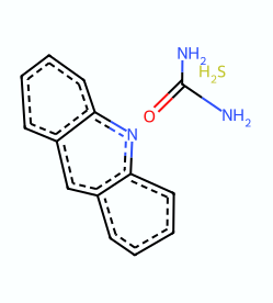 NC(N)=O.S.c1ccc2nc3ccccc3cc2c1